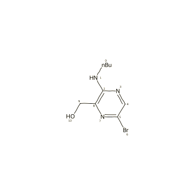 CCCCNc1ncc(Br)nc1CO